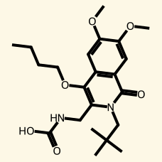 CCCCOc1c(CNC(=O)O)n(CC(C)(C)C)c(=O)c2cc(OC)c(OC)cc12